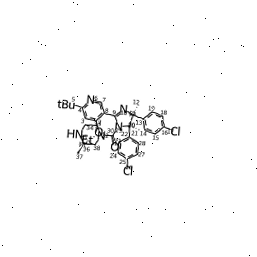 CCOc1cc(C(C)(C)C)ncc1C1=N[C@@](C)(c2ccc(Cl)cc2)[C@@](C)(c2ccc(Cl)cc2)N1C(=O)N1CCN[C@H](C)C1